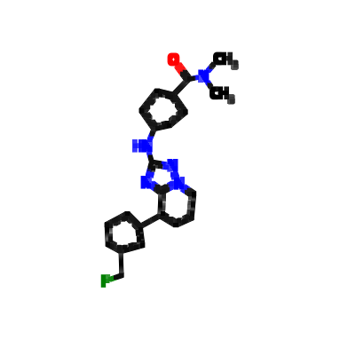 CN(C)C(=O)c1ccc(Nc2nc3c(-c4cccc(CF)c4)cccn3n2)cc1